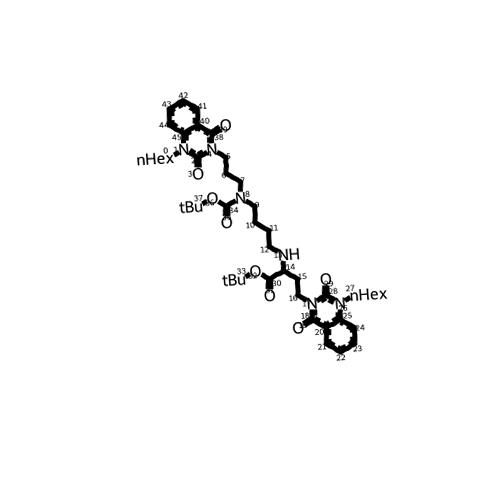 CCCCCCn1c(=O)n(CCCN(CCCCNC(CCn2c(=O)c3ccccc3n(CCCCCC)c2=O)C(=O)OC(C)(C)C)C(=O)OC(C)(C)C)c(=O)c2ccccc21